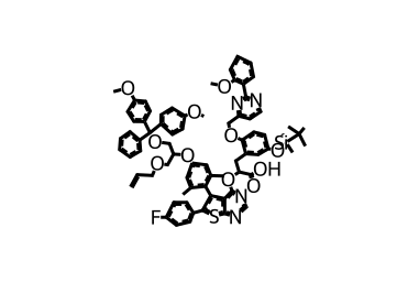 C=CCOCC(COC(c1ccccc1)(c1ccc(OC)cc1)c1ccc(OC)cc1)Oc1cc(C)c(-c2c(-c3ccc(F)cc3)sc3ncnc(OC(Cc4cc(O[Si](C)(C)C(C)(C)C)ccc4OCc4ccnc(-c5ccccc5OC)n4)C(=O)O)c23)c(C)c1